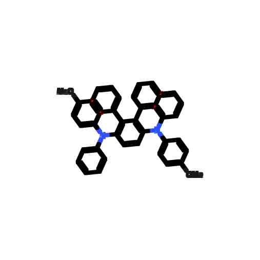 COc1ccc(N(c2ccccc2)c2ccc(N(c3ccccc3)c3ccc(OC)cc3)c(-c3ccccc3)c2-c2ccccc2)cc1